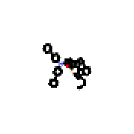 C#C/C=C\c1ccc2c(c1C)C1(C3=C(C=CCC3)c3cccc(-c4ccc(N(c5ccc(-c6ccccc6)cc5)c5ccc(-c6ccccc6)cc5)cc4)c31)c1ccccc1S2